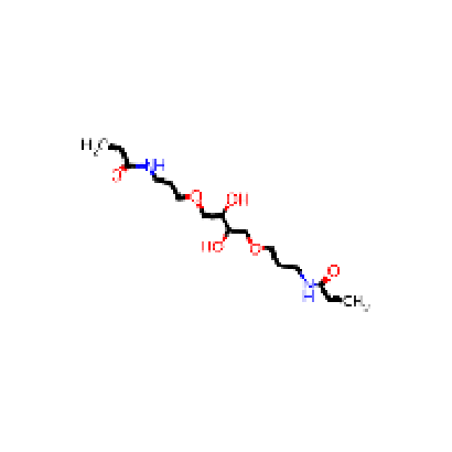 C=CC(=O)NCCCOCC(O)C(O)COCCCNC(=O)C=C